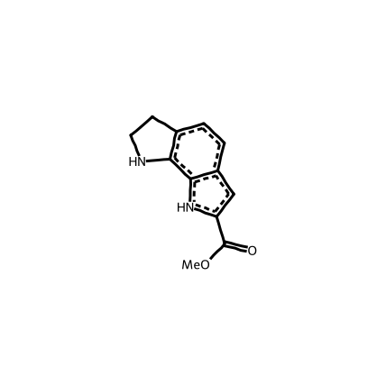 COC(=O)c1cc2ccc3c(c2[nH]1)NCC3